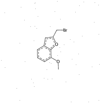 COc1cccc2cc(CBr)oc12